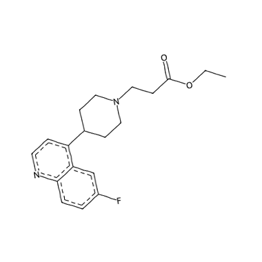 CCOC(=O)CCN1CCC(c2ccnc3ccc(F)cc23)CC1